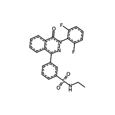 CCNS(=O)(=O)c1cccc(-c2nn(-c3c(F)cccc3F)c(=O)c3ccccc23)c1